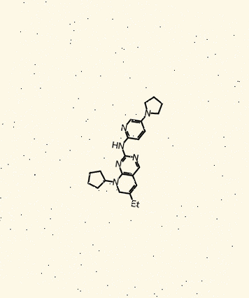 CCC1=Cc2cnc(Nc3ccc(N4CCCC4)cn3)nc2N(C2CCCC2)C1